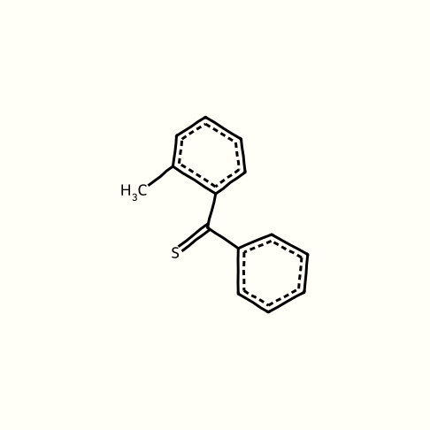 Cc1ccccc1C(=S)c1ccccc1